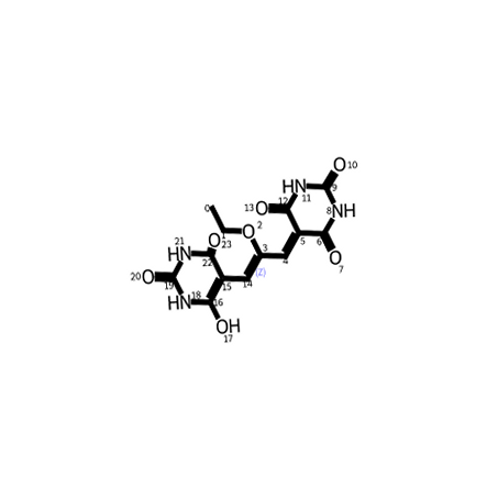 CCO/C(C=C1C(=O)NC(=O)NC1=O)=C\c1c(O)[nH]c(=O)[nH]c1=O